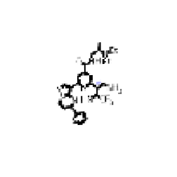 CCN(CC)C(C)CNC(=O)c1cc(/C(=C/N)C(=N)C(F)(F)F)nc(-c2cnn3ccc(-c4cccs4)nc23)c1